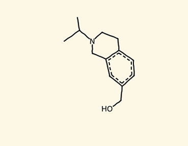 CC(C)N1CCc2ccc(CO)cc2C1